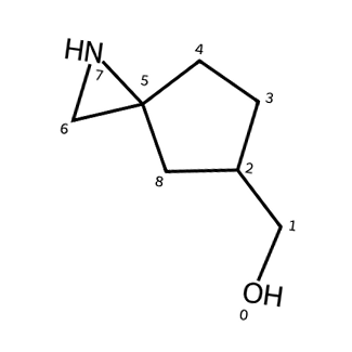 OCC1CCC2(CN2)C1